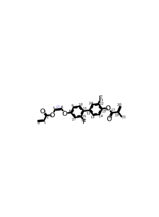 C=CC(=O)O/C=C\Oc1ccc(-c2ccc(OC(=O)C(=C)C)c(F)c2)c(F)c1